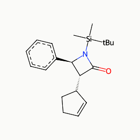 CC(C)(C)[Si](C)(C)N1C(=O)[C@H](C2C=CCC2)[C@H]1c1ccccc1